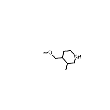 COCC1CCNCC1C